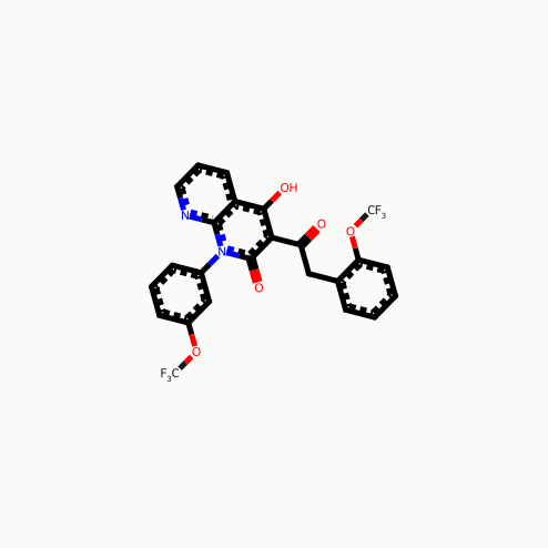 O=C(Cc1ccccc1OC(F)(F)F)c1c(O)c2cccnc2n(-c2cccc(OC(F)(F)F)c2)c1=O